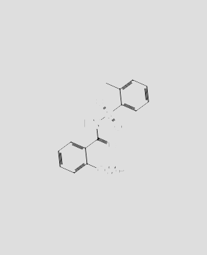 COc1ccccc1C(=O)NS(=O)(=O)c1ccccc1C